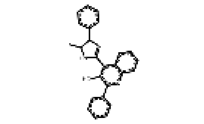 CCC1NC(c2c(O)c(-c3ccccc3)nc3ccccc23)=NC1c1ccccc1